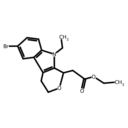 CCOC(=O)CC1OCCc2c1n(CC)c1ccc(Br)cc21